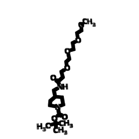 COCCOCCOCCOCCC(=O)NCC1CCN(C(=O)OC(C)(C)C)CC1